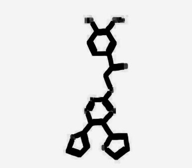 COc1cc(C(=O)CSc2nnc(-c3ccco3)c(-c3ccco3)n2)ccc1O